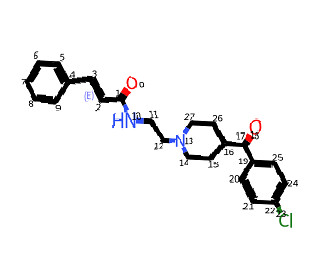 O=C(/C=C/c1ccccc1)NCCN1CCC(C(=O)c2ccc(Cl)cc2)CC1